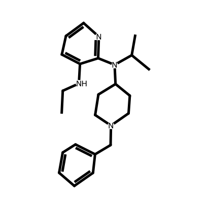 CCNc1cccnc1N(C(C)C)C1CCN(Cc2ccccc2)CC1